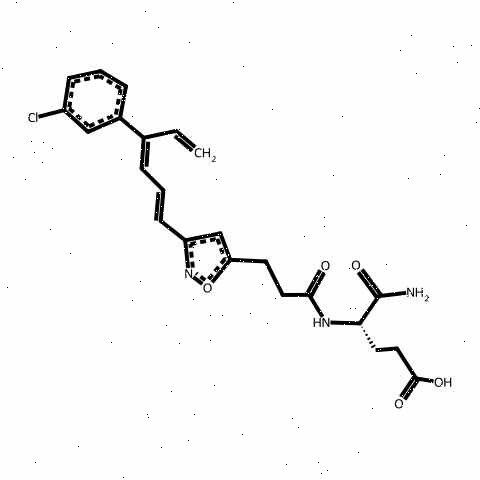 C=C/C(=C\C=C\c1cc(CCC(=O)N[C@@H](CCC(=O)O)C(N)=O)on1)c1cccc(Cl)c1